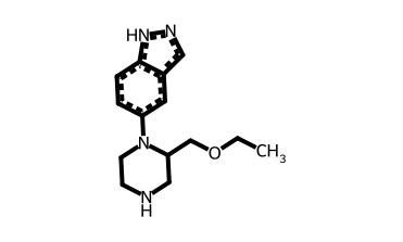 CCOCC1CNCCN1c1ccc2[nH]ncc2c1